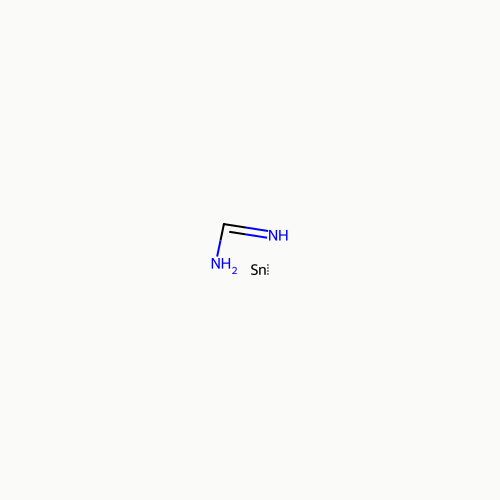 N=CN.[Sn]